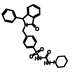 O=C(NN1CCCCC1)NS(=O)(=O)c1ccc(CN2C(=O)c3ccccc3C2c2ccccc2)cc1